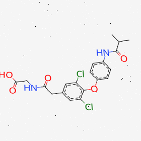 CC(C)C(=O)Nc1ccc(Oc2c(Cl)cc(CC(=O)NCC(=O)O)cc2Cl)cc1